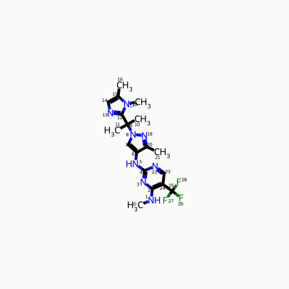 CNc1nc(Nc2cn(C(C)(C)c3ncc(C)n3C)nc2C)ncc1C(F)(F)F